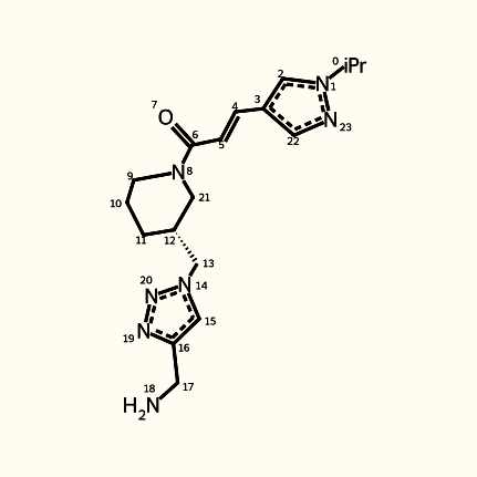 CC(C)n1cc(/C=C/C(=O)N2CCC[C@@H](Cn3cc(CN)nn3)C2)cn1